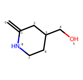 C=C1CC(CO)CCN1